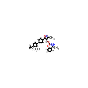 CCOC(=O)C1(c2ccc(-c3ccc(-c4onc(C)c4COC(=O)N[C@@H](C)c4ccccc4)cc3)cc2)CC1